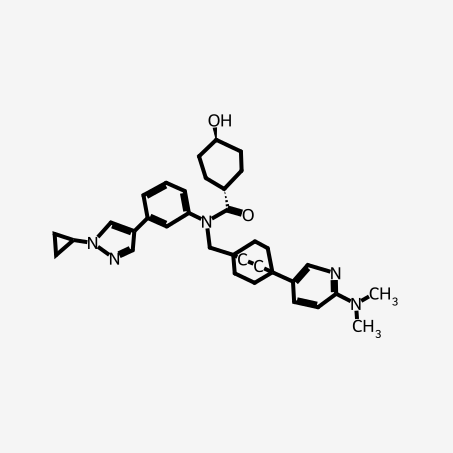 CN(C)c1ccc(C23CCC(CN(c4cccc(-c5cnn(C6CC6)c5)c4)C(=O)[C@H]4CC[C@H](O)CC4)(CC2)CC3)cn1